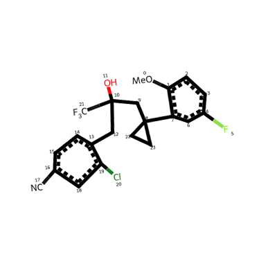 COc1ccc(F)cc1C1(CC(O)(Cc2ccc(C#N)cc2Cl)C(F)(F)F)CC1